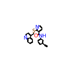 C#Cc1cccc(NC(=O)c2cccnc2SCc2ccnc3ccccc23)c1